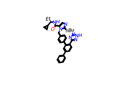 CCCCc1ncc(C(=O)N[C@@H](CC)C2CC2)n1Cc1ccc(-c2cc(-c3ccccc3)ccc2-c2nn[nH]n2)cc1